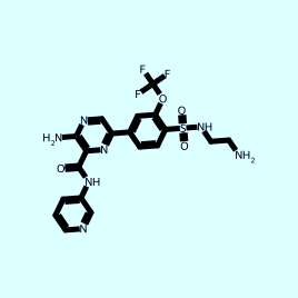 NCCNS(=O)(=O)c1ccc(-c2cnc(N)c(C(=O)Nc3cccnc3)n2)cc1OC(F)(F)F